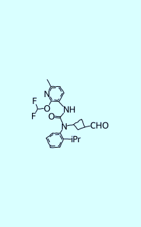 Cc1ccc(NC(=O)N(c2ccccc2C(C)C)C2CC(C=O)C2)c(OC(F)F)n1